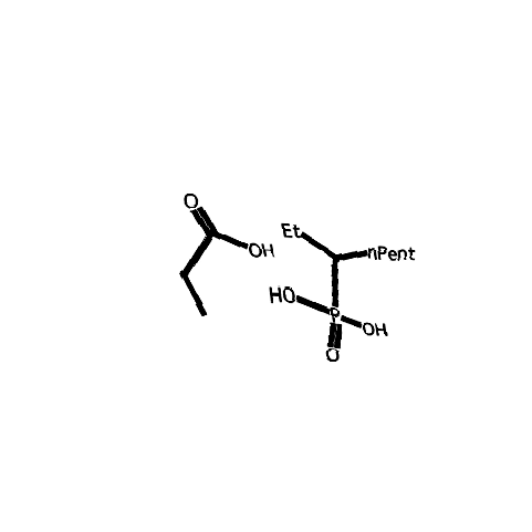 CCC(=O)O.CCCCCC(CC)P(=O)(O)O